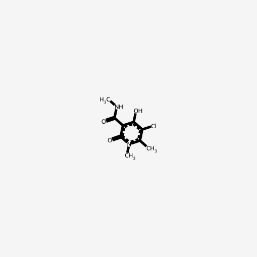 CNC(=O)c1c(O)c(Cl)c(C)n(C)c1=O